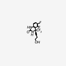 O=C1Nc2ccc(F)c(F)c2C(C#CCCO)(C(F)(F)F)N1